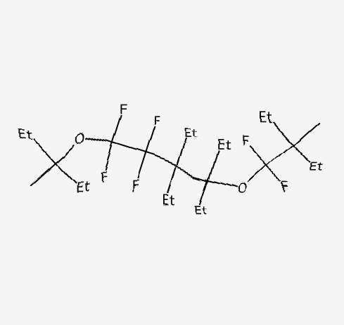 CCC(C)(CC)OC(F)(F)C(F)(F)C(CC)(CC)C(CC)(CC)OC(F)(F)C(C)(CC)CC